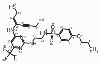 CCCOc1ccc(S(=O)(=O)NCCNc2nc(N/C(C#CCF)=C/CS)cc(C(F)(F)F)n2)cc1